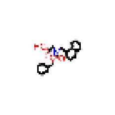 O=C(O)CN(Cc1cccc2ccccc12)C(=O)OCc1ccccc1